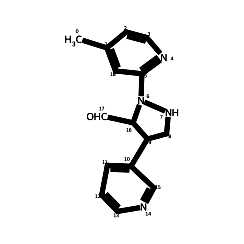 Cc1ccnc(N2NCC(c3cccnc3)C2C=O)c1